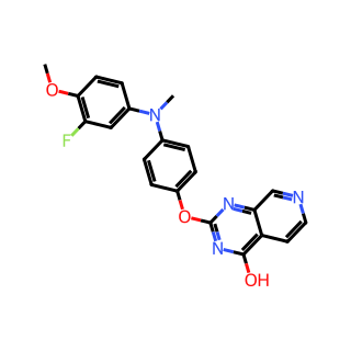 COc1ccc(N(C)c2ccc(Oc3nc(O)c4ccncc4n3)cc2)cc1F